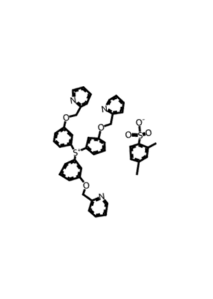 Cc1ccc(S(=O)(=O)[O-])c(C)c1.c1ccc(COc2cccc([S+](c3cccc(OCc4ccccn4)c3)c3cccc(OCc4ccccn4)c3)c2)nc1